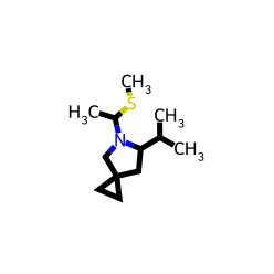 CSC(C)N1CC2(CC2)CC1C(C)C